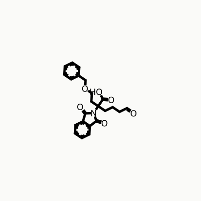 O=CCCCC(CCOCc1ccccc1)(C(=O)O)N1C(=O)c2ccccc2C1=O